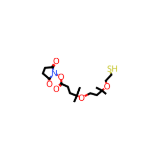 CC(C)(CCOC(C)(C)CCC(=O)ON1C(=O)CCC1=O)OCCS